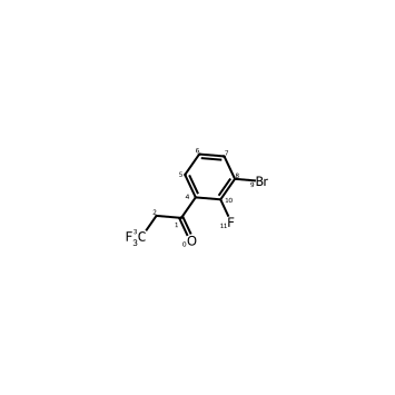 O=C(CC(F)(F)F)c1cccc(Br)c1F